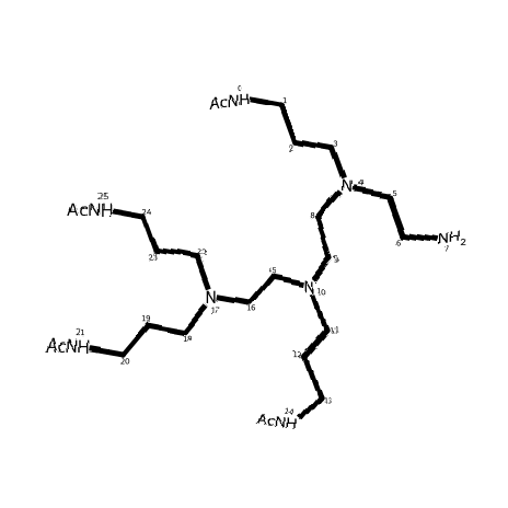 CC(=O)NCCCN(CCN)CCN(CCCNC(C)=O)CCN(CCCNC(C)=O)CCCNC(C)=O